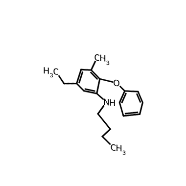 CCCCNc1cc(CC)cc(C)c1Oc1ccccc1